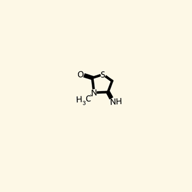 CN1C(=N)CSC1=O